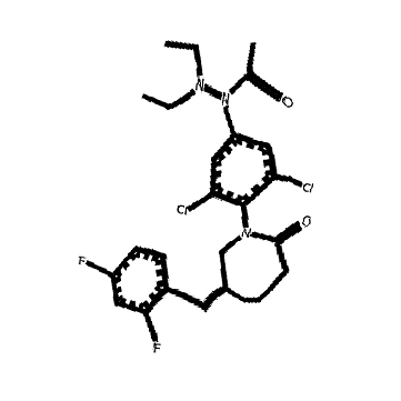 CCN(CC)N(C(C)=O)c1cc(Cl)c(N2CC(Cc3ccc(F)cc3F)CCC2=O)c(Cl)c1